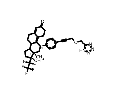 C[C@]12C[C@H](c3ccc(C#CCOCc4nnn[nH]4)cc3)C3=C4CCC(=O)C=C4CCC3C1CC[C@@]2(O)C(F)(F)C(F)(F)F